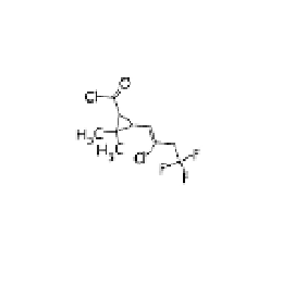 CC1(C)C(C=C(Cl)CC(F)(F)F)C1C(=O)Cl